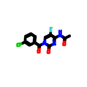 CC(=O)Nc1nc(=O)n(C(=O)c2cccc(Cl)c2)cc1F